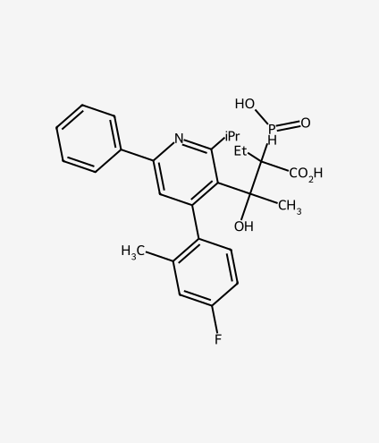 CCC(C(=O)O)([PH](=O)O)C(C)(O)c1c(-c2ccc(F)cc2C)cc(-c2ccccc2)nc1C(C)C